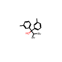 CCCCC(CCC)C(O)(c1cccc(C)c1)c1cccc(C)c1